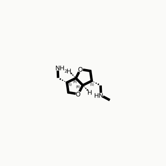 CNC[C@H]1CO[C@@H]2[C@@H](CN)CO[C@H]12